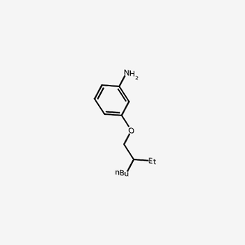 CCCCC(CC)COc1cccc(N)c1